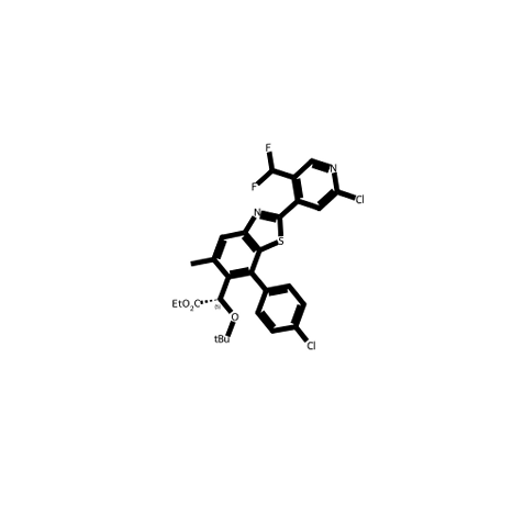 CCOC(=O)[C@@H](OC(C)(C)C)c1c(C)cc2nc(-c3cc(Cl)ncc3C(F)F)sc2c1-c1ccc(Cl)cc1